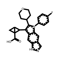 O=C(O)C12CC1C2c1c(C2CCOCC2)n(-c2ccc(F)cc2)c2cc3cn[nH]c3cc12